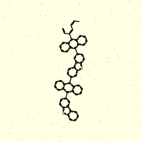 C=C/C(=C\C=C/C)c1c2ccccc2c(-c2ccc3sc4cc(-c5c6ccccc6c(-c6ccc7sc8ccccc8c7c6)c6ccccc56)ccc4c3c2)c2ccccc12